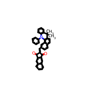 CC1(C)c2ccccc2N(c2ccccc2)c2c1ccc1ccc(C=C3C(=O)c4cc5ccccc5cc4C3=O)cc21